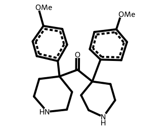 COc1ccc(C2(C(=O)C3(c4ccc(OC)cc4)CCNCC3)CCNCC2)cc1